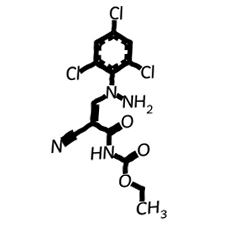 CCOC(=O)NC(=O)/C(C#N)=C\N(N)c1c(Cl)cc(Cl)cc1Cl